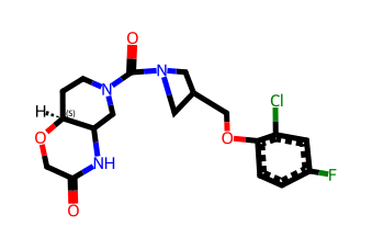 O=C1CO[C@H]2CCN(C(=O)N3CC(COc4ccc(F)cc4Cl)C3)CC2N1